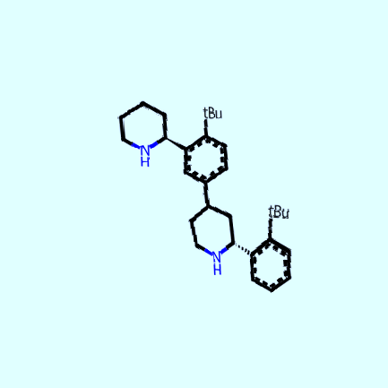 CC(C)(C)c1ccc(C2CCN[C@@H](c3ccccc3C(C)(C)C)C2)cc1[C@@H]1CCCCN1